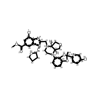 COC(=O)c1cc(Cl)c2nc(CN3CCN(c4cccc5c4OC(C)(c4ccc(Cl)cn4)O5)[C@H]4COC[C@H]43)n(C[C@@H]3CCCO3)c2c1